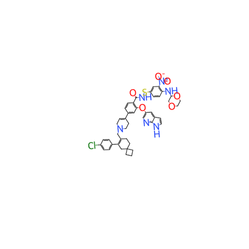 O=C(NSc1ccc(N[C@@H]2COCCO2)c([N+](=O)[O-])c1)c1ccc(C2=CCN(CC3=C(c4ccc(Cl)cc4)CC4(CCC4)CC3)CC2)cc1Oc1cnc2[nH]ccc2c1